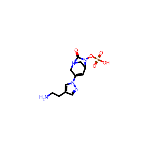 NCCc1cnn(C2=CC3CN(C2)C(=O)N3OS(=O)(=O)O)c1